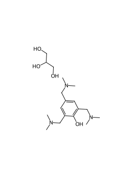 CN(C)Cc1cc(CN(C)C)c(O)c(CN(C)C)c1.OCC(O)CO